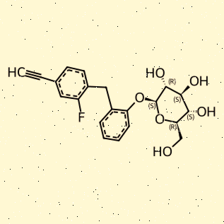 C#Cc1ccc(Cc2ccccc2O[C@@H]2O[C@H](CO)[C@@H](O)[C@H](O)[C@H]2O)c(F)c1